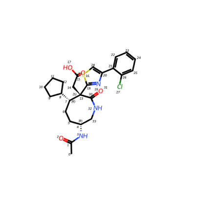 CC(=O)N[C@@H]1CC[C@H](C2CCCC2)[C@](CC(=O)O)(c2nc(-c3ccccc3Cl)cs2)C(=O)NC1